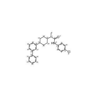 CC(C(=O)Nc1ccc(Cl)cc1)C1CCC(c2cccc(-c3ccccc3)c2)CC1